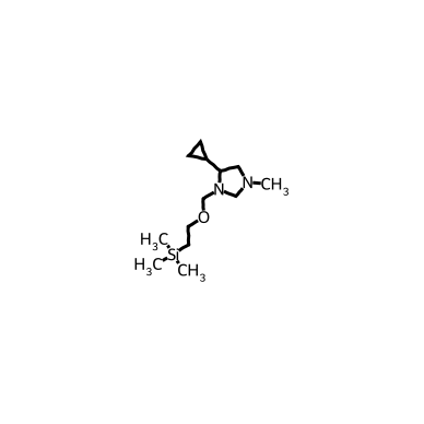 CN1CC(C2CC2)N(COCC[Si](C)(C)C)C1